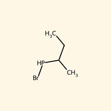 CCC(C)PBr